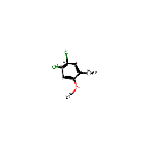 CCOc1cc(Cl)c(Cl)cc1OC